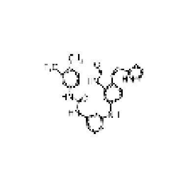 Cc1ccc(NC(=O)Nc2cccc(Nc3ccc4c(c3)NC(=O)C4=Cc3ccc[nH]3)c2)cc1C(F)(F)F